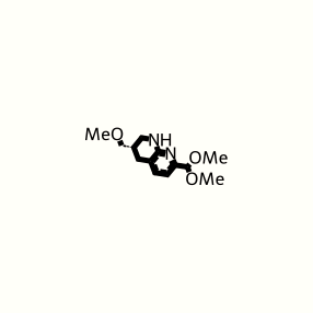 COC[C@@H]1CNc2nc(C(OC)OC)ccc2C1